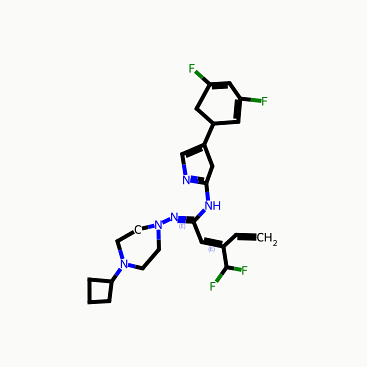 C=C/C(=C\C(=N/N1CCN(C2CCC2)CC1)NC1=NC=C(C2C=C(F)C=C(F)C2)C1)C(F)F